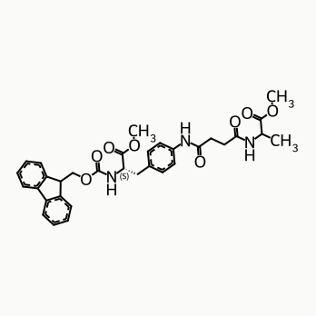 COC(=O)C(C)NC(=O)CCC(=O)Nc1ccc(C[C@H](NC(=O)OCC2c3ccccc3-c3ccccc32)C(=O)OC)cc1